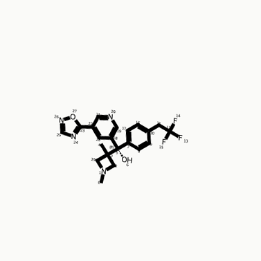 CN1CC(C)([C@](O)(c2ccc(CC(F)(F)F)cc2)c2cncc(-c3ncno3)c2)C1